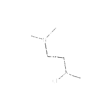 CC(Cl)C[CH]N(C)C